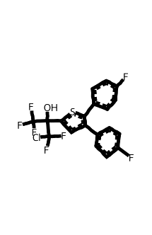 OC(c1cc(-c2ccc(F)cc2)c(-c2ccc(F)cc2)s1)(C(F)(F)F)C(F)(F)Cl